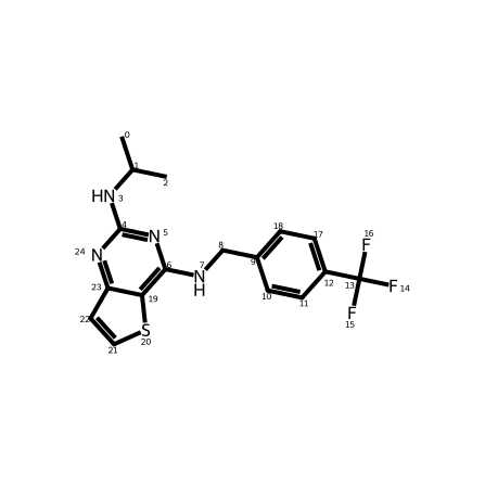 CC(C)Nc1nc(NCc2ccc(C(F)(F)F)cc2)c2sccc2n1